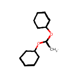 [CH2]C(OC1CCCCC1)OC1CCCCC1